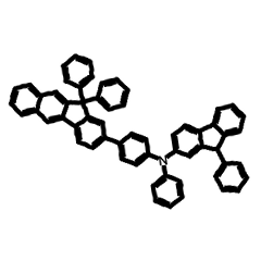 c1ccc(C2c3ccccc3-c3ccc(N(c4ccccc4)c4ccc(-c5ccc6c(c5)C(c5ccccc5)(c5ccccc5)c5cc7ccccc7cc5-6)cc4)cc32)cc1